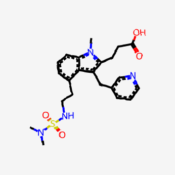 CN(C)S(=O)(=O)NCCc1cccc2c1c(Cc1cccnc1)c(CCC(=O)O)n2C